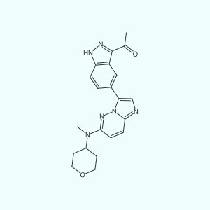 CC(=O)c1n[nH]c2ccc(-c3cnc4ccc(N(C)C5CCOCC5)nn34)cc12